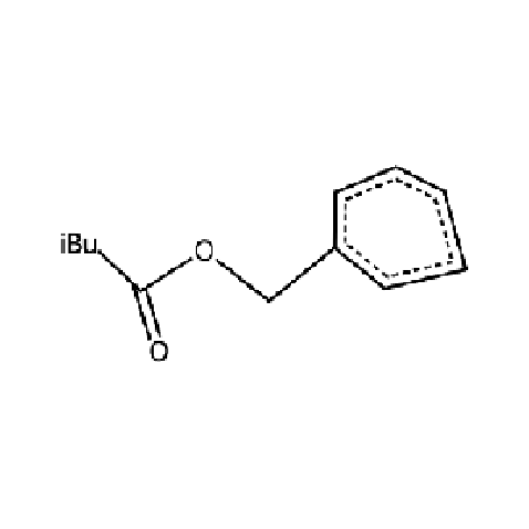 C[CH]C(C)C(=O)OCc1ccccc1